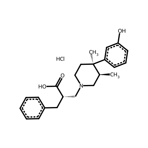 C[C@H]1CN(C[C@H](Cc2ccccc2)C(=O)O)CC[C@@]1(C)c1cccc(O)c1.Cl